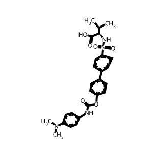 CC(C)[C@@H](NS(=O)(=O)c1ccc(-c2ccc(OC(=O)Nc3ccc(N(C)C)cc3)cc2)cc1)C(=O)O